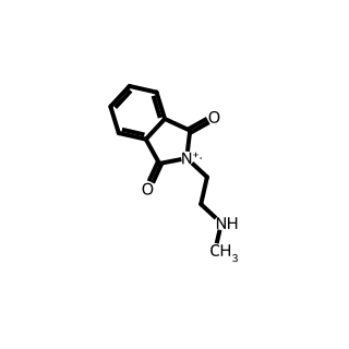 CNCC[N+]1C(=O)c2ccccc2C1=O